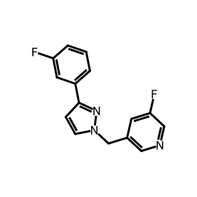 Fc1cncc(Cn2ccc(-c3cccc(F)c3)n2)c1